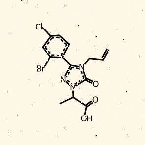 C=CCn1c(-c2ccc(Cl)cc2Br)nn(C(C)C(=O)O)c1=O